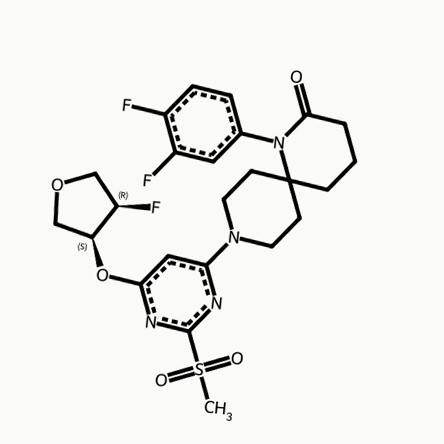 CS(=O)(=O)c1nc(O[C@H]2COC[C@H]2F)cc(N2CCC3(CCCC(=O)N3c3ccc(F)c(F)c3)CC2)n1